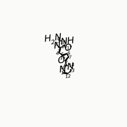 NC1=NC(=Cc2ccc(-c3ncccn3)o2)C(=O)N1